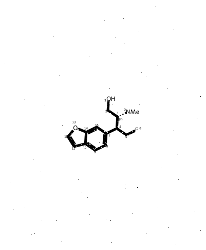 CN[C@@H](CO)C(CF)c1ccc2ccoc2c1